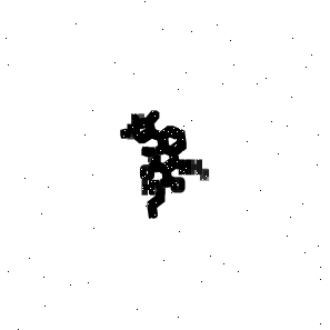 CCCNC(=O)c1c(N)c2cccc(-c3cn(C)nc3C)c2n(C)c1=O